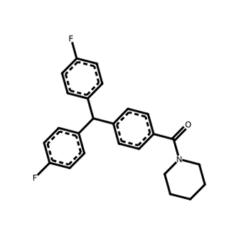 O=C(c1ccc(C(c2ccc(F)cc2)c2ccc(F)cc2)cc1)N1CCCCC1